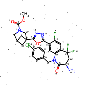 COC(=O)N1CC2CC(c3nnc(-c4cc5c(cc4F)C(F)(F)C[C@@H](N)C(=O)N5Cc4ccc(Cl)cc4)o3)(C2)C1